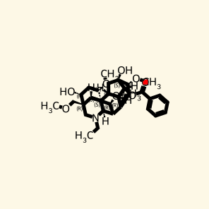 CCN1C[C@]2(COC)[C@H](O)C[C@H](OC)[C@@]34[C@@H]5C[C@@]6(O)[C@H](OC(=O)c7ccccc7)[C@@H]5C(=C[C@H]6OC)C([C@H](OC)[C@H]23)[C@@H]14